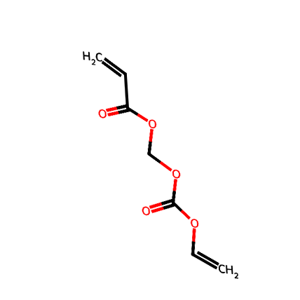 C=COC(=O)OCOC(=O)C=C